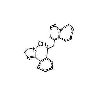 CN1CCN=C1c1ccccc1CCc1cccc2ccccc12